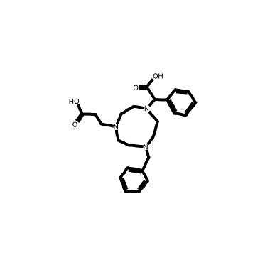 O=C(O)CCN1CCN(Cc2ccccc2)CCN(C(C(=O)O)c2ccccc2)CC1